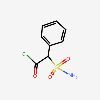 NS(=O)(=O)C(C(=O)Cl)c1ccccc1